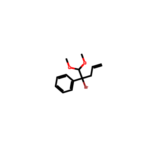 C=CCC(Br)(c1ccccc1)C(OC)OC